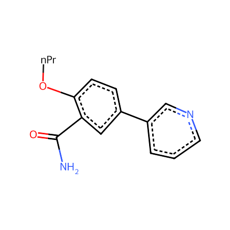 CCCOc1ccc(-c2cccnc2)cc1C(N)=O